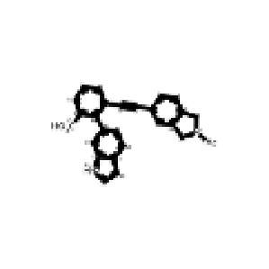 CC(=O)N1Cc2ccc(C#Cc3cccc(C(=O)O)c3-c3ccc4cc[nH]c4c3)cc2C1